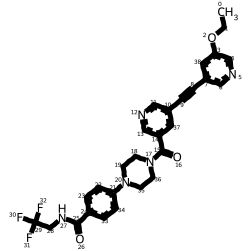 CCOc1cncc(C#Cc2cncc(C(=O)N3CCN(c4ccc(C(=O)NCC(F)(F)F)cc4)CC3)c2)c1